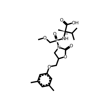 COCP(=O)(N[C@](C)(C(=O)O)C(C)C)N1CC(COc2cc(C)cc(C)c2)OC1=O